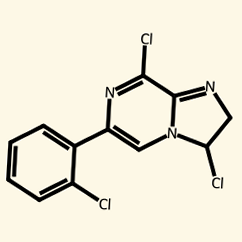 ClC1=NC(c2ccccc2Cl)=CN2C1=NCC2Cl